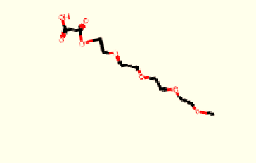 COCCOCCOCCOCCOC(=O)C(=O)O